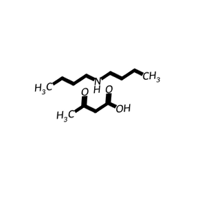 CC(=O)CC(=O)O.CCCCNCCCC